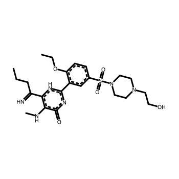 CCCC(=N)c1[nH]c(-c2cc(S(=O)(=O)N3CCN(CCO)CC3)ccc2OCC)nc(=O)c1NC